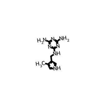 Cc1c[nH]cc1CNc1nc(N)nc(N)n1